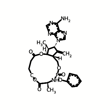 C=C1[C@@H](n2cnc3c(N)ncnc32)[C@H](C)[C@@H]2OC(=O)CCCOC(=O)[C@H](C)N[P@](=O)(Oc3ccccc3)OC[C@@H]12